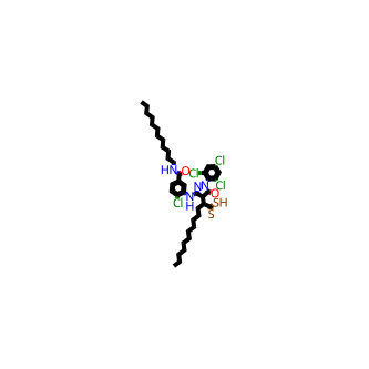 CCCCCCCCCCCCNC(=O)c1ccc(Cl)c(NC2=NN(c3c(Cl)cc(Cl)cc3Cl)C(=O)C2C(CCCCCCCCCCC)C(=S)S)c1